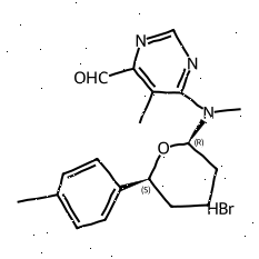 Br.Cc1ccc([C@@H]2CCC[C@H](N(C)c3ncnc(C=O)c3C)O2)cc1